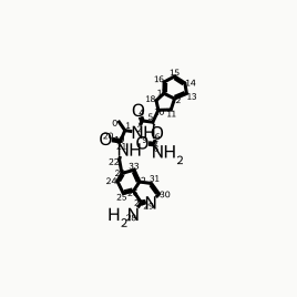 CC(NC(=O)[C@H](OC(N)=O)C1Cc2ccccc2C1)C(=O)NCc1ccc2c(N)nccc2c1